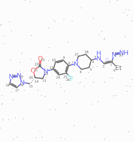 CC/C(=C/NC1CCN(c2ccc(N3C[C@H](Cn4ccnn4)OC3=O)cc2F)CC1)N=N